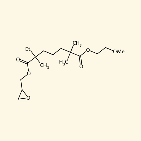 CCC(C)(CCCC(C)(C)C(=O)OCCOC)C(=O)OCC1CO1